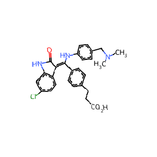 CN(C)Cc1ccc(N/C(=C2\C(=O)Nc3cc(Cl)ccc32)c2ccc(CCC(=O)O)cc2)cc1